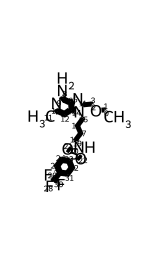 CCOCc1nc2c(N)nc(C)cc2n1CCCCNS(=O)(=O)c1ccc(C(F)(F)F)cc1